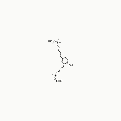 CC(C)(CCCCc1cc(CCCCCC(C)(C)C(=O)O)ccc1O)OC=O